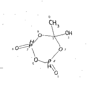 CC1(O)O[PH](=O)O[PH](=O)O1